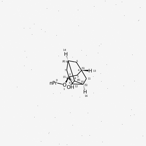 CCCO[C@]12C[C@@H]3C[C@H](C1)[C@H](O)[C@@H](C3)C2